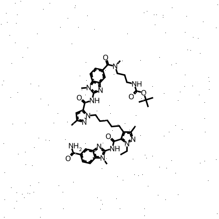 CCn1nc(C)c(CCCCCn2nc(C)cc2C(=O)Nc2nc3cc(C(=O)N(C)CCCNC(=O)OC(C)(C)C)ccc3n2C)c1C(=O)Nc1nc2cc(C(N)=O)ccc2n1C